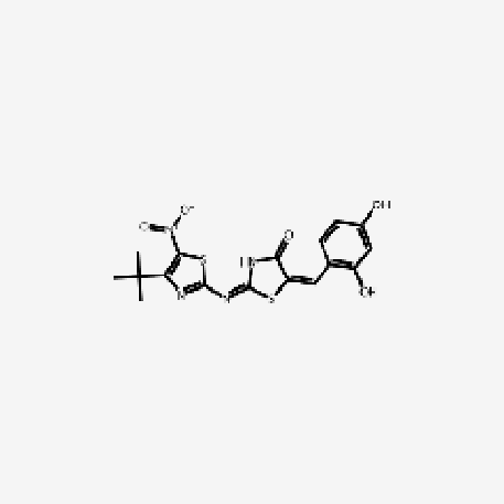 CC(C)(C)c1nc(N=C2NC(=O)C(=Cc3ccc(O)cc3O)S2)sc1[N+](=O)[O-]